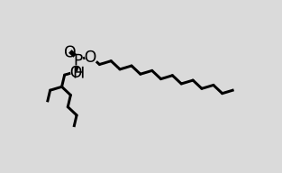 CCCCCCCCCCCCCCO[PH](=O)OCC(CC)CCCC